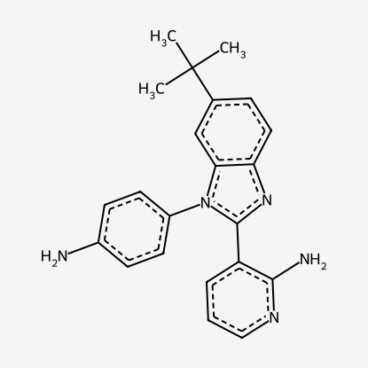 CC(C)(C)c1ccc2nc(-c3cccnc3N)n(-c3ccc(N)cc3)c2c1